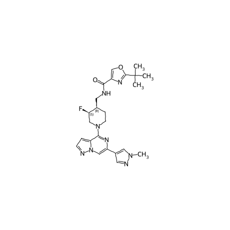 Cn1cc(-c2cn3nccc3c(N3CC[C@H](CNC(=O)c4coc(C(C)(C)C)n4)[C@H](F)C3)n2)cn1